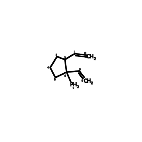 C=CC1CCCC1(P)C=C